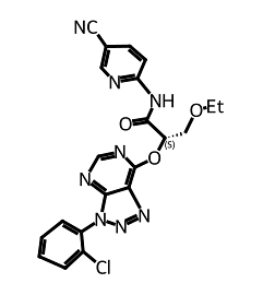 CCOC[C@H](Oc1ncnc2c1nnn2-c1ccccc1Cl)C(=O)Nc1ccc(C#N)cn1